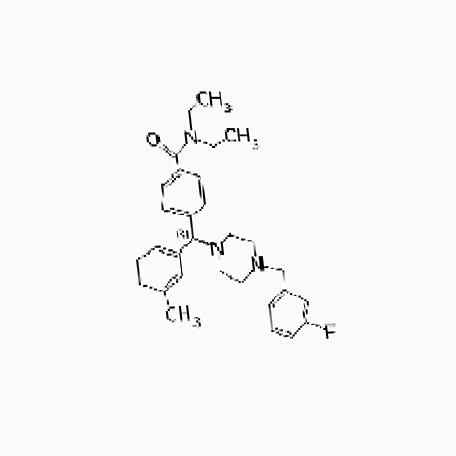 CCN(CC)C(=O)c1ccc([C@H](c2cccc(C)c2)N2CCN(Cc3cccc(F)c3)CC2)cc1